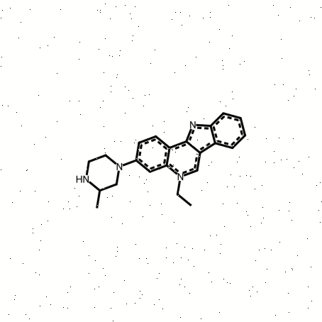 CCn1cc2c3ccccc3nc-2c2ccc(N3CCNC(C)C3)cc21